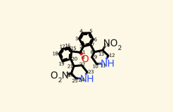 O=C(c1ccccc1C1CCNCC1[N+](=O)[O-])c1ccccc1C1CCNCC1[N+](=O)[O-]